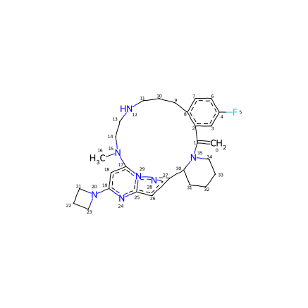 C=C1c2cc(F)ccc2CCCNCCN(C)c2cc(N3CCC3)nc3cc(nn23)C2CCCCN12